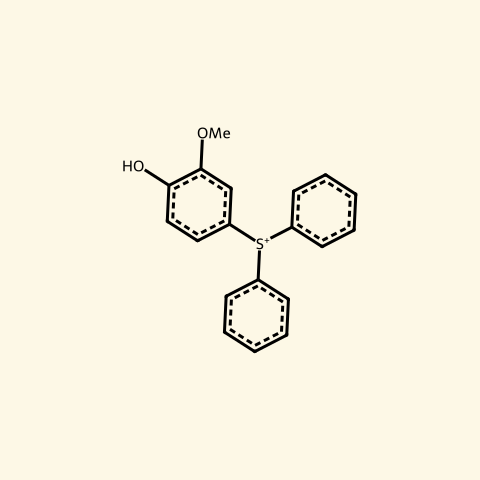 COc1cc([S+](c2ccccc2)c2ccccc2)ccc1O